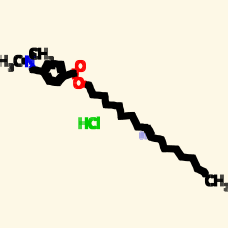 CCCCCCCC/C=C/CCCCCCCCOC(=O)c1ccc(CN(C)C)cc1.Cl